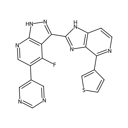 Fc1c(-c2cncnc2)cnc2[nH]nc(-c3nc4c(-c5ccsc5)nccc4[nH]3)c12